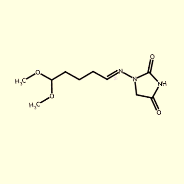 COC(CCC/C=N/N1CC(=O)NC1=O)OC